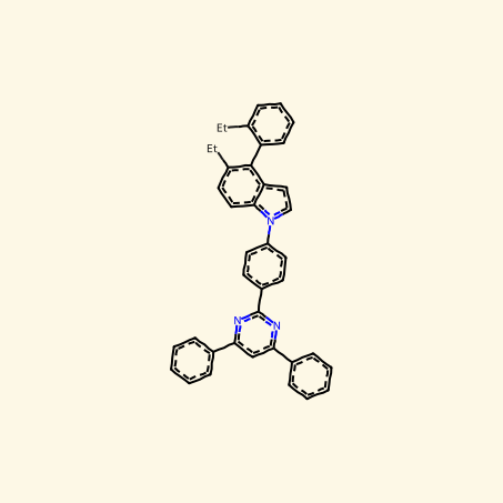 CCc1ccccc1-c1c(CC)ccc2c1ccn2-c1ccc(-c2nc(-c3ccccc3)cc(-c3ccccc3)n2)cc1